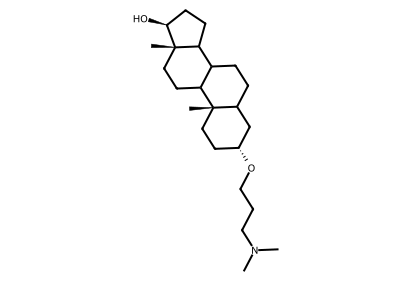 CN(C)CCCO[C@@H]1CC[C@@]2(C)C(CCC3C2CC[C@@]2(C)C3CC[C@@H]2O)C1